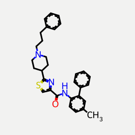 Cc1ccc(NC(=O)c2csc(C3CCN(CCCc4ccccc4)CC3)n2)c(-c2ccccc2)c1